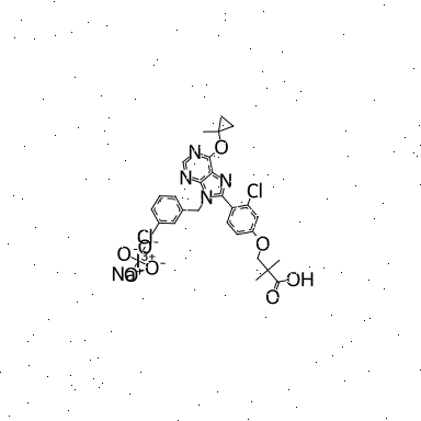 CC1(Oc2ncnc3c2nc(-c2ccc(OCC(C)(C)C(=O)O)cc2Cl)n3Cc2cccc(Cl)c2)CC1.[Na+].[O-][I+3]([O-])([O-])[O-]